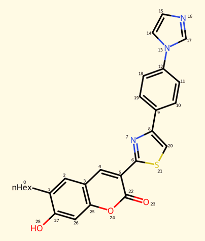 CCCCCCc1cc2cc(-c3nc(-c4ccc(-n5ccnc5)cc4)cs3)c(=O)oc2cc1O